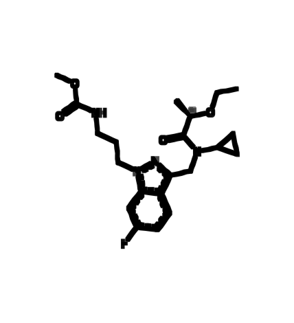 CCO[C@H](C)C(=O)N(Cc1nn(CCCNC(=O)OC)c2cc(F)ccc12)C1CC1